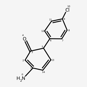 NC1=CC(=O)C(c2ccc(Cl)cc2)C=C1